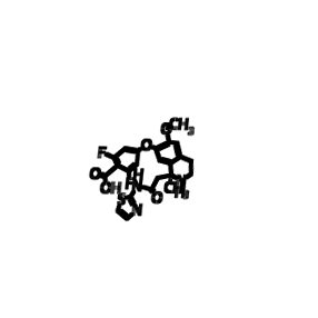 COc1cc2c(cc1Oc1cc(F)c(C(=O)O)c(F)c1)[C@@](C)(CC(=O)Nc1nccs1)NCC2